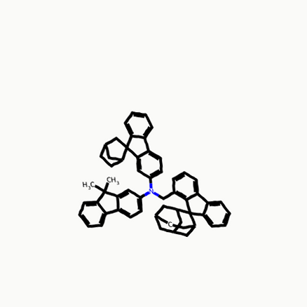 CC1(C)c2ccccc2-c2ccc(N(Cc3cccc4c3C3(c5ccccc5-4)C4CCC5CC(C4)CC3C5)c3ccc4c(c3)C3(CC5CCC3C5)c3ccccc3-4)cc21